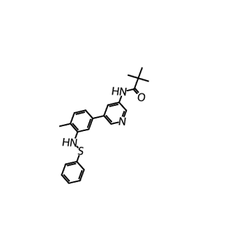 Cc1ccc(-c2cncc(NC(=O)C(C)(C)C)c2)cc1NSc1ccccc1